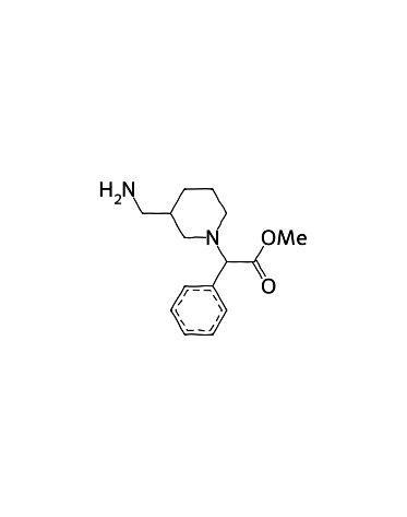 COC(=O)C(c1ccccc1)N1CCCC(CN)C1